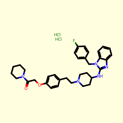 Cl.Cl.O=C(COc1ccc(CCN2CCC(Nc3nc4ccccc4n3Cc3ccc(F)cc3)CC2)cc1)N1CCCCC1